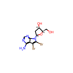 Nc1ncnc2c1c(Br)c(Br)n2[C@H]1C[C@@H](O)[C@@H](CO)O1